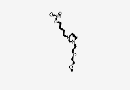 COCCOCCN1C=CN(CCCCO[SH](=O)=O)C1